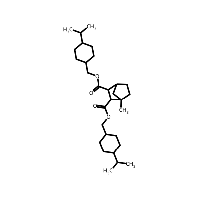 CC(C)C1CCC(COC(=O)C2C3CCC(C)(C3)C2C(=O)OCC2CCC(C(C)C)CC2)CC1